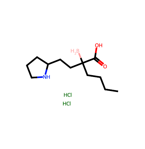 BC(CCCC)(CCC1CCCN1)C(=O)O.Cl.Cl